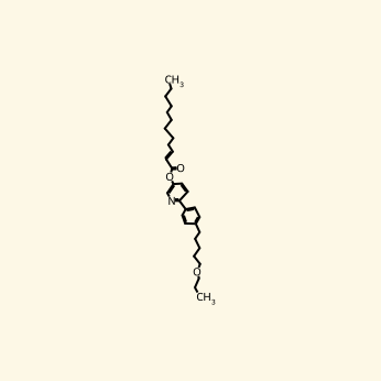 CCCCCCCCC/C=C/C(=O)Oc1ccc(-c2ccc(CCCCCOCCC)cc2)nc1